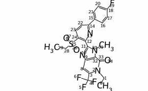 CCn1c(C(F)(F)F)cc2nc(-c3nc(-c4ccc(F)cc4)ccc3S(=O)(=O)CC)n(C)c2c1=O